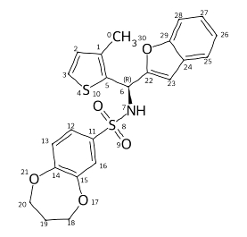 Cc1ccsc1[C@H](NS(=O)(=O)c1ccc2c(c1)OCCCO2)c1cc2ccccc2o1